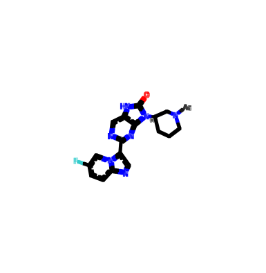 CC(=O)N1CCC[C@@H](n2c(=O)[nH]c3cnc(-c4cnc5ccc(F)cn45)nc32)C1